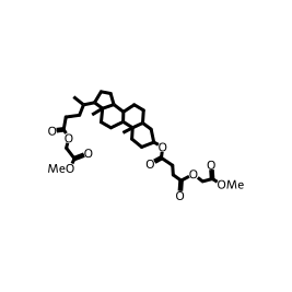 COC(=O)COC(=O)CCC(=O)OC1CCC2(C)C(CCC3C2CCC2(C)C(C(C)CCC(=O)OCC(=O)OC)CCC32)C1